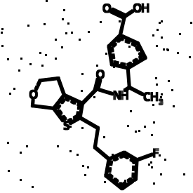 CC(NC(=O)c1c(CCc2cccc(F)c2)sc2c1CCOC2)c1ccc(C(=O)O)cc1